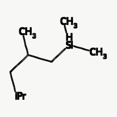 CC(C)CC(C)C[SiH](C)C